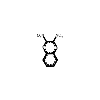 O=[N+]([O-])c1nc2ccccc2nc1[N+](=O)[O-]